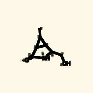 CC1C2C(=O)NC(CO)C12